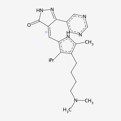 Cc1[nH]c(/C=C2/C(=O)NN=C2c2cncnc2)c(C(C)C)c1CCCCN(C)C